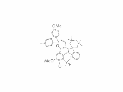 COc1ccc(C2(c3ccc(C)cc3)C=Cc3c4c(c5c6c(c(OC)cc5c3O2)OCC6(F)F)-c2ccccc2C42CC(C)(C)CC(C)(C)C2)cc1